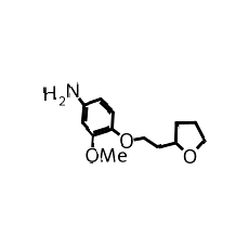 COc1cc(N)ccc1OCCC1CCCO1